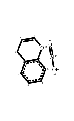 C1=COc2ccccc2C1.[O]=[Al][OH]